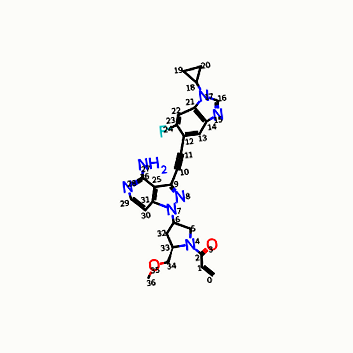 C=CC(=O)N1CC(n2nc(C#Cc3cc4ncn(C5CC5)c4cc3F)c3c(N)nccc32)C[C@@H]1COC